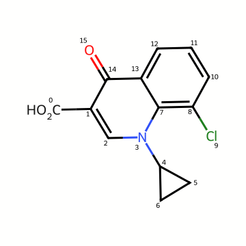 O=C(O)c1cn(C2CC2)c2c(Cl)cccc2c1=O